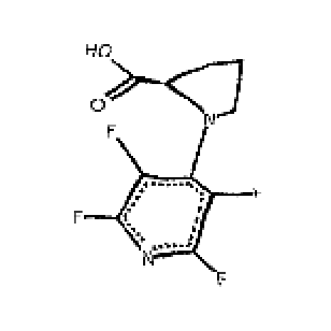 O=C(O)[C@H]1CCCN1c1c(F)c(F)nc(F)c1F